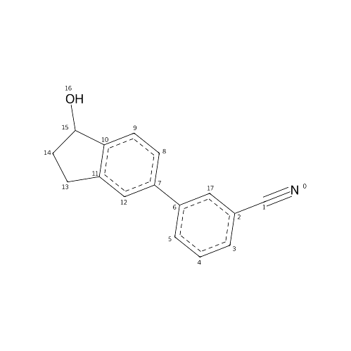 N#Cc1cccc(-c2ccc3c(c2)CCC3O)c1